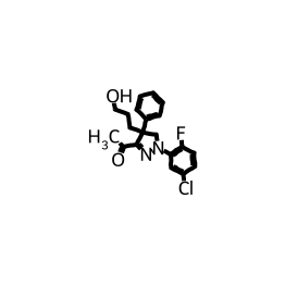 CC(=O)C1=NN(c2cc(Cl)ccc2F)CC1(CCCO)c1ccccc1